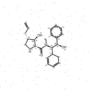 C=CC[C@H]1CN[C@H](C(=O)N(C)[C@H](C2C=CC=CC2)[C@H](O)c2ccccc2)[C@@H]1O